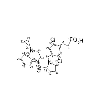 O=C(O)CCc1cc(Cl)c(CN2CCCC2C(=O)N2CCN(C3CC3)c3ccccc32)cc1Cl